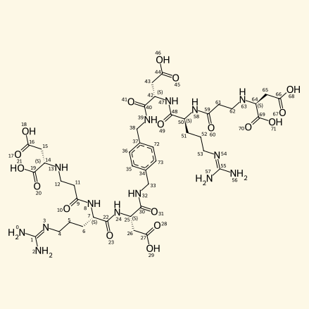 NC(N)=NCCC[C@H](NC(=O)CCN[C@@H](CC(=O)O)C(=O)O)C(=O)N[C@@H](CC(=O)O)C(=O)NCc1ccc(CNC(=O)[C@H](CC(=O)O)NC(=O)[C@H](CCCN=C(N)N)NC(=O)CCN[C@@H](CC(=O)O)C(=O)O)cc1